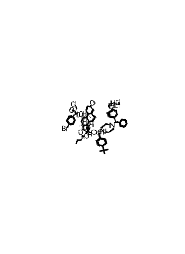 CC(C)(C)c1ccc(CN2CCN(C(c3ccccc3)c3ccc(Cl)cc3)CC2)cc1.CCC[C@@H]1O[C@@H]2C[C@H]3[C@@H]4CCC5=CC(=O)C=C[C@]5(C)[C@H]4[C@@H](O)C[C@]3(C)[C@]2(C(=O)CO)O1.Cl.Cl.O=S(=O)(CCl)c1ccc(Br)cc1